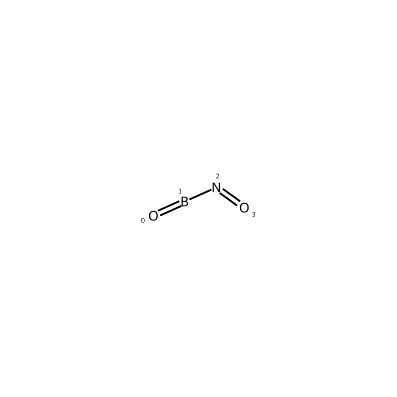 O=BN=O